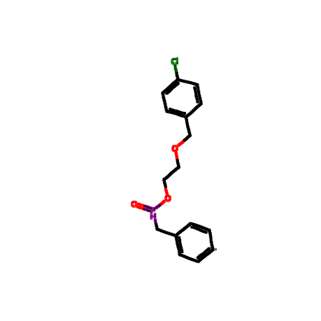 O=[PH](Cc1cc[c]cc1)OCCOCc1ccc(Cl)cc1